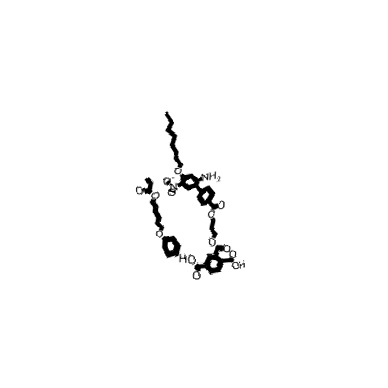 C=CC(=O)OCCCCCCOc1ccccc1.CCCCCCCCOc1cc(N)c(-c2ccc(C(=O)OCCCOC(=O)c3cc(C(=O)O)ccc3C(=O)O)cc2)cc1[N+](=O)[O-]